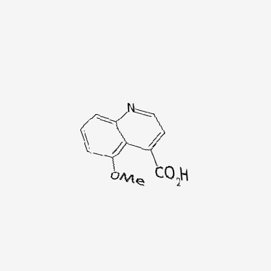 COc1cccc2nccc(C(=O)O)c12